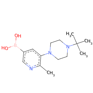 Cc1ncc(B(O)O)cc1N1CCN(C(C)(C)C)CC1